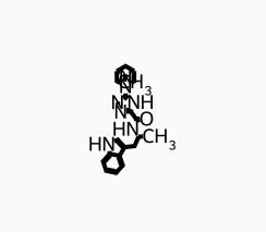 CC(Cc1c[nH]c2ccccc12)NC(=O)c1nnc(N2CC3CC(C2)N3C)[nH]1